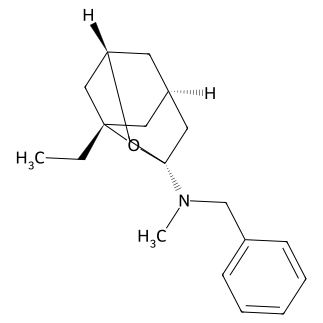 CC[C@]12C[C@H]3C[C@@H](C1)C[C@@](N(C)Cc1ccccc1)(C3)O2